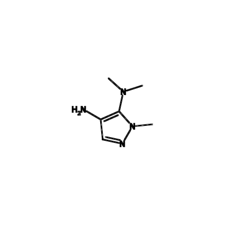 CN(C)c1c(N)cnn1C